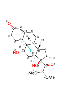 COC(OC)C(=O)[C@@]1(O)[C@@H](C)C[C@H]2[C@@H]3CCC4=CC(=O)CC[C@]4(C)[C@@]3(F)[C@@H](O)C[C@@]21C